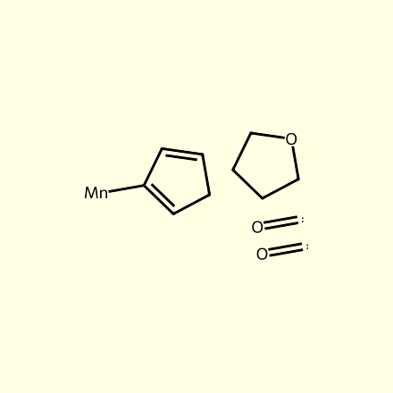 C1CCOC1.[C]=O.[C]=O.[Mn][C]1=CCC=C1